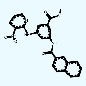 COC(=O)c1cc(NC(=O)c2ccc3ccccc3c2)cc(Nc2ncccc2[N+](=O)[O-])c1